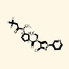 CCN(C(=O)[C@H]1CC[C@@H](N(C)C(=O)CC(F)(F)F)C1)c1cn(-c2cccnc2)nc1Cl